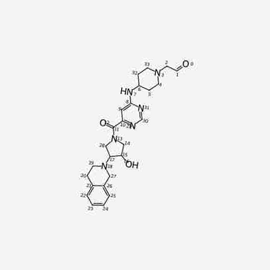 O=CCN1CCC(Nc2cc(C(=O)N3CC(O)C(N4CCc5ccccc5C4)C3)ncn2)CC1